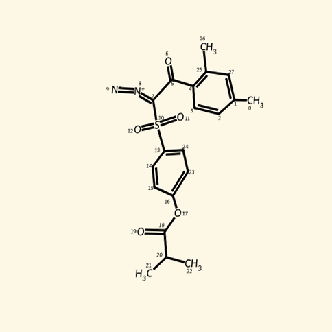 Cc1ccc(C(=O)C(=[N+]=[N-])S(=O)(=O)c2ccc(OC(=O)C(C)C)cc2)c(C)c1